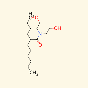 CCCCCCC(CCCC)C(=O)N(CCO)CCO